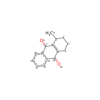 CC1CCCC2=C1C(=O)c1ccccc1C2=O